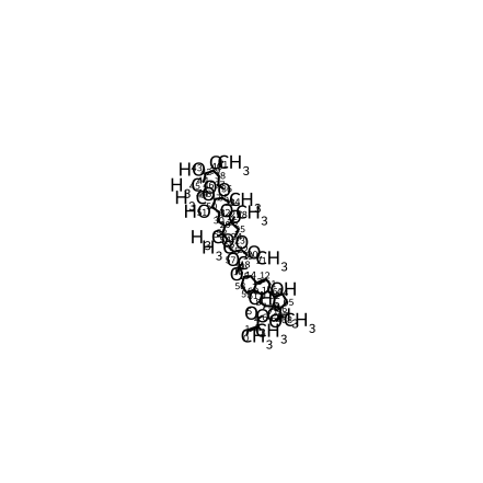 C/C=C(\C)C(=O)O[C@@H]1CC2C(CC=C3C[C@@H](OC4CC(OC)C(OC5CC(OC)C(CC6OC(C)C(OC7CC(OC)C(O)C(C)O7)C(OC)C6O)C(C)O5)C(C)O4)CC[C@@]32C)[C@@]2(O)CC[C@H](C(C)=O)[C@@]12C